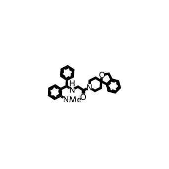 CNc1ccccc1C(NCC(=O)N1CCC2(CC1)OCc1ccccc12)c1ccccc1